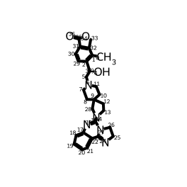 Cc1c([C@@H](O)CN2CCC3(CC2)CCN(C2=Nc4ccccc4C4=NCCN42)C3)ccc2c1COC2=O